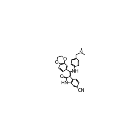 CN(C)Cc1ccc(NC(=C2C(=O)Nc3cc(C#N)ccc32)c2ccc3c(c2)OCCO3)cc1